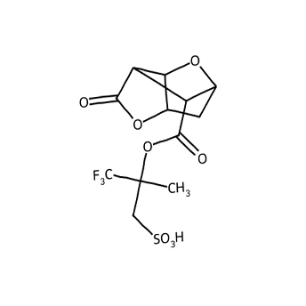 CC(CS(=O)(=O)O)(OC(=O)C1C2CC3OC(=O)C1C3O2)C(F)(F)F